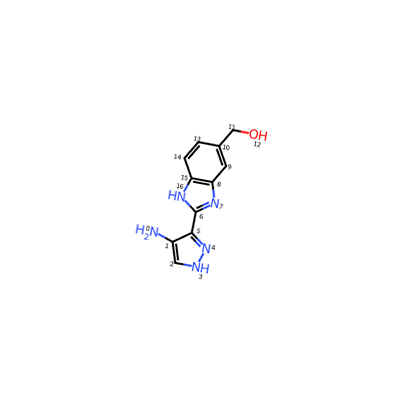 Nc1c[nH]nc1-c1nc2cc(CO)ccc2[nH]1